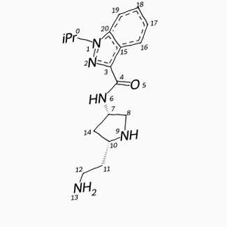 CC(C)n1nc(C(=O)N[C@@H]2CN[C@H](CCN)C2)c2ccccc21